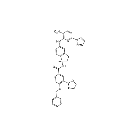 CC1(NC(=O)c2ccc(OCc3ccccc3)c(C3OCCO3)c2)CCc2cc(Nc3nc(-n4cccn4)ccc3[N+](=O)[O-])ccc21